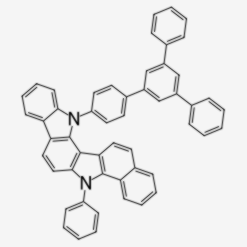 c1ccc(-c2cc(-c3ccccc3)cc(-c3ccc(-n4c5ccccc5c5ccc6c(c7ccc8ccccc8c7n6-c6ccccc6)c54)cc3)c2)cc1